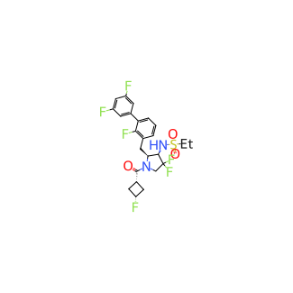 CCS(=O)(=O)N[C@@H]1[C@H](Cc2cccc(-c3cc(F)cc(F)c3)c2F)N(C(=O)[C@H]2C[C@@H](F)C2)CC1(F)F